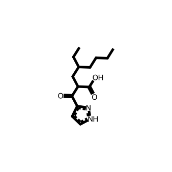 CCCCC(CC)CC(C(=O)O)C(=O)c1cc[nH]n1